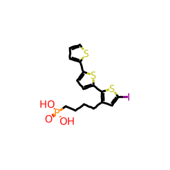 O=P(O)(O)CCCCc1cc(I)sc1-c1ccc(-c2cccs2)s1